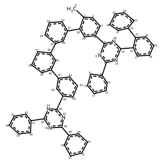 Cc1ccc(-c2nc(-c3ccccc3)nc(-c3ccccc3-c3ccccc3)n2)cc1-c1cccc(-c2cccc(-c3cccc(-c4nc(-c5ccccc5)nc(-c5ccccc5)n4)c3)c2)c1